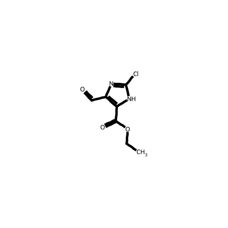 CCOC(=O)c1[nH]c(Cl)nc1C=O